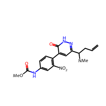 C=CCC(NC)c1cc(-c2ccc(NC(=O)OC)cc2[N+](=O)[O-])c(=O)[nH]n1